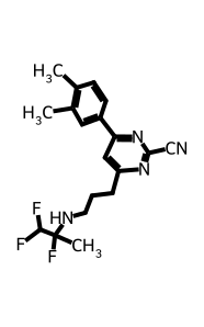 Cc1ccc(-c2cc(CCCNC(C)(F)C(F)F)nc(C#N)n2)cc1C